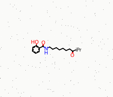 CC(C)C(=O)CCCCCCCNC(=O)c1ccccc1O